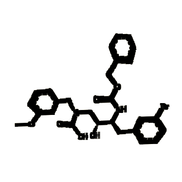 COc1cccc(CN(C[C@@H](O)[C@H](Cc2cccc(Br)c2)NC(=O)OCc2ccccc2)C(=O)O)c1